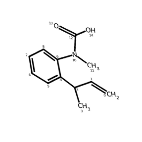 C=CC(C)c1ccccc1N(C)C(=O)O